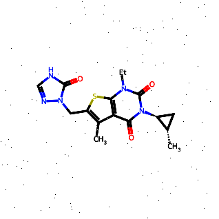 CCn1c(=O)n([C@H]2C[C@@H]2C)c(=O)c2c(C)c(Cn3nc[nH]c3=O)sc21